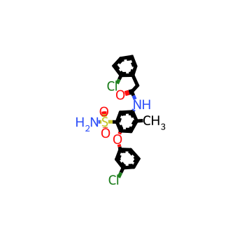 Cc1cc(Oc2cccc(Cl)c2)c(S(N)(=O)=O)cc1NC(=O)Cc1ccccc1Cl